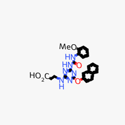 COc1ccccc1NC(=O)Nc1nc(NCCC(=O)O)nc(Oc2ccc3ccccc3c2)n1